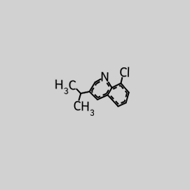 CC(C)c1cnc2c(Cl)cccc2c1